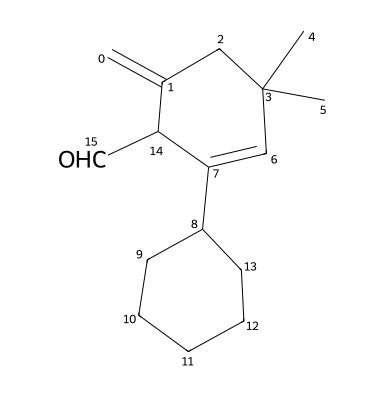 C=C1CC(C)(C)C=C(C2CCCCC2)C1C=O